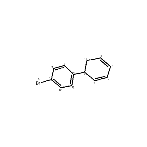 Brc1ccc(C2C=CC=CC2)cc1